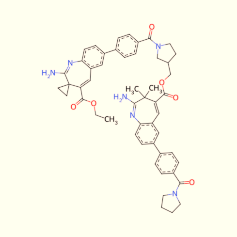 CCOC(=O)C1=Cc2cc(-c3ccc(C(=O)N4CCC(COC(=O)C5=Cc6cc(-c7ccc(C(=O)N8CCCC8)cc7)ccc6N=C(N)C5(C)C)C4)cc3)ccc2N=C(N)C12CC2